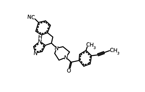 CC#Cc1ccc(C(=O)N2CCN(C(Cc3ccc(C#N)cc3)c3cnc[nH]3)CC2)cc1C